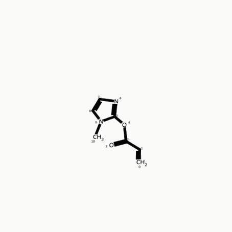 C=CC(=O)Oc1nccn1C